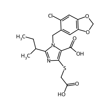 CCC(C)c1nc(SCC(=O)O)c(C(=O)O)n1Cc1cc2c(cc1Cl)OCO2